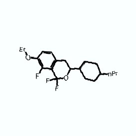 CCCC1CCC(C2Cc3ccc(OCC)c(F)c3C(F)(F)O2)CC1